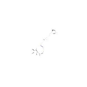 C=C1C(=O)O[C@H]2[C@H]1CC/C(COC(=O)NCCCn1ccnc1)=C\CC[C@@]1(C)O[C@@H]21